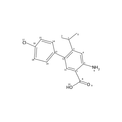 CC(C)c1cc(N)c(C(=O)O)cc1-c1ccc(Cl)cc1